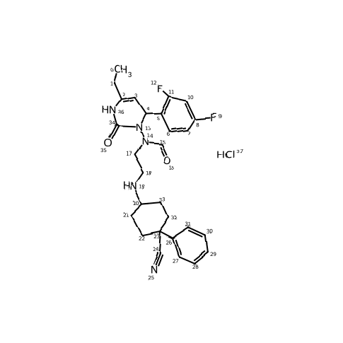 CCC1=CC(c2ccc(F)cc2F)N(N(C=O)CCNC2CCC(C#N)(c3ccccc3)CC2)C(=O)N1.Cl